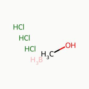 B.CO.Cl.Cl.Cl